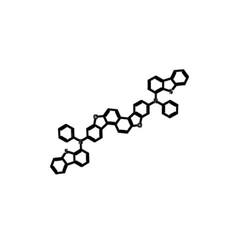 c1ccc(N(c2ccc3c(c2)oc2ccc4c(ccc5oc6cc(N(c7ccccc7)c7cccc8c7sc7ccccc78)ccc6c54)c23)c2cccc3c2sc2ccccc23)cc1